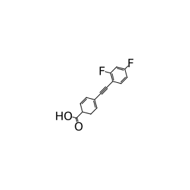 O=C(O)C1C=CC(C#Cc2ccc(F)cc2F)=CC1